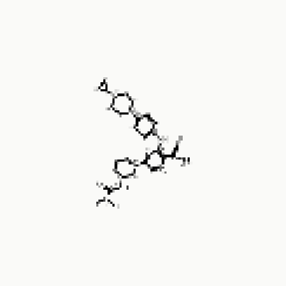 CN(C)C(=O)NC1CCCN(c2cnc(C(N)=O)c(Nc3ccc(N4CCN(C5CC5)CC4)cc3)n2)C1